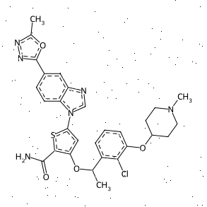 Cc1nnc(-c2ccc3c(c2)ncn3-c2cc(OC(C)c3cccc(OC4CCN(C)CC4)c3Cl)c(C(N)=O)s2)o1